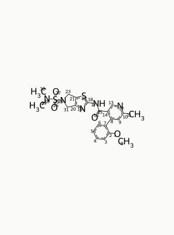 COc1ccccc1-c1cc(C)ncc1C(=O)Nc1nc2c(s1)CN(S(=O)(=O)N(C)C)C2